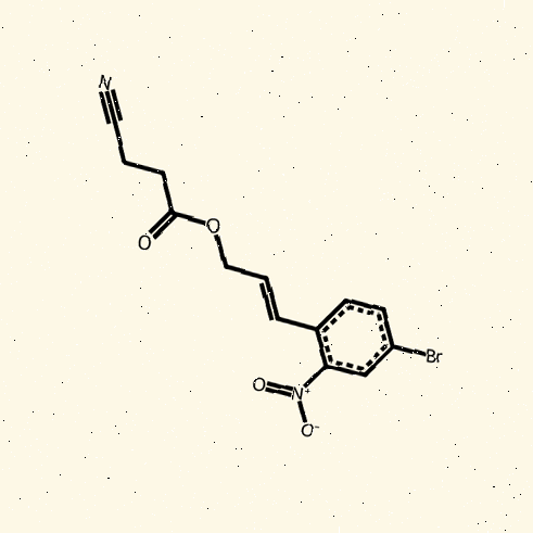 N#CCCC(=O)OCC=Cc1ccc(Br)cc1[N+](=O)[O-]